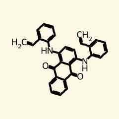 C=Cc1ccccc1Nc1ccc(Nc2ccccc2C=C)c2c1C(=O)c1ccccc1C2=O